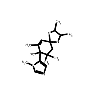 CC1=CC2(CC(C)(C)C1(O)c1cncn1C)OC(C)C(C)O2